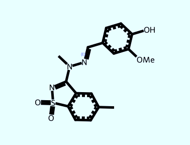 COc1cc(/C=N/N(C)C2=NS(=O)(=O)c3ccc(C)cc32)ccc1O